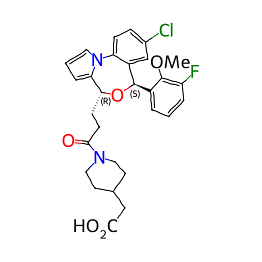 COc1c(F)cccc1[C@H]1O[C@H](CCC(=O)N2CCC(CC(=O)O)CC2)c2cccn2-c2ccc(Cl)cc21